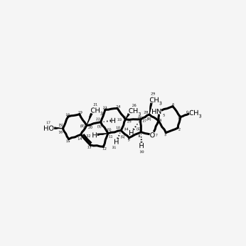 CC1CCC2(NC1)O[C@H]1C[C@H]3[C@@H]4CC=C5C[C@@H](O)CC[C@]5(C)[C@H]4CC[C@]3(C)[C@H]1[C@H]2C